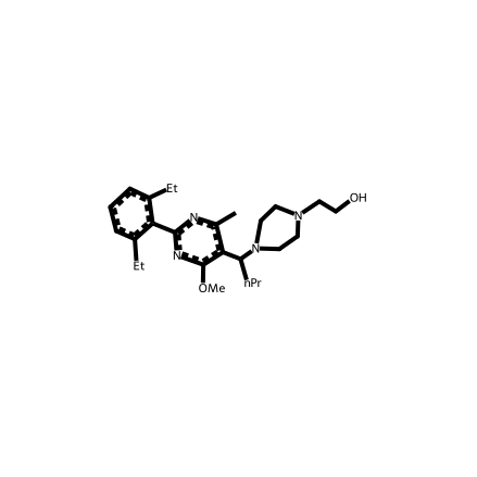 CCCC(c1c(C)nc(-c2c(CC)cccc2CC)nc1OC)N1CCN(CCO)CC1